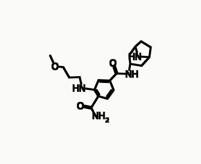 COCCCNc1cc(C(=O)NC2CC3CCC(C2)N3)ccc1C(N)=O